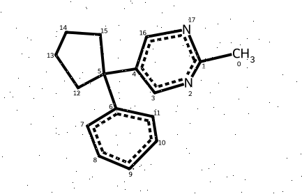 Cc1ncc(C2(c3cc[c]cc3)CCCC2)cn1